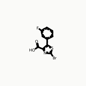 O=C(O)c1nc(Br)sc1-c1cccc(F)c1